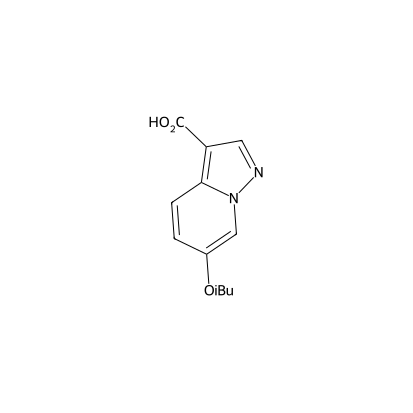 CC(C)COc1ccc2c(C(=O)O)cnn2c1